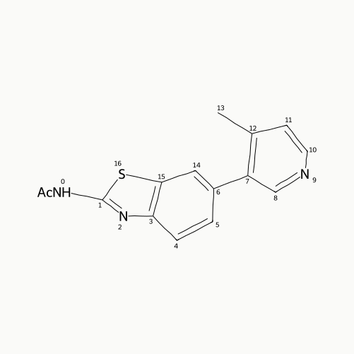 CC(=O)Nc1nc2ccc(-c3cnccc3C)cc2s1